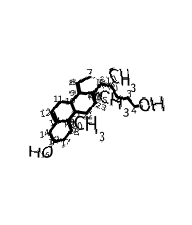 C[C@H](CCCO)[C@H]1CCC2C3CC=C4C[C@@H](O)CC[C@]4(C)C3CC[C@@]21C